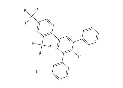 FC(F)(F)c1ccc(-c2cc(-c3ccccc3)c([S-])c(-c3ccccc3)c2)c(C(F)(F)F)c1.[K+]